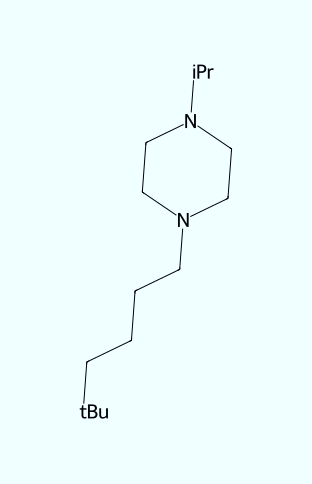 CC(C)N1CCN(CCCCC(C)(C)C)CC1